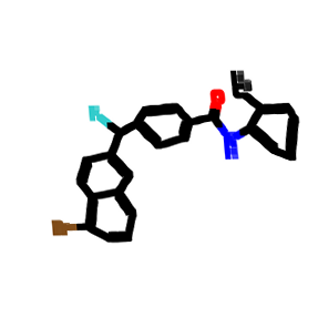 Cc1ccccc1NC(=O)c1ccc(C(F)c2ccc3c(Br)cccc3c2)cc1